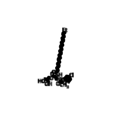 CCC=CCC=CCC=CCC=CCC=CCC=CCCC(=O)NC(CNC(=O)C(C)(C)Oc1ccc(Cl)cc1)C(=O)OCC(CO)CO